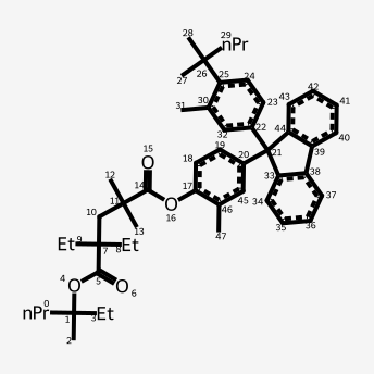 CCCC(C)(CC)OC(=O)C(CC)(CC)CC(C)(C)C(=O)Oc1ccc(C2(c3ccc(C(C)(C)CCC)c(C)c3)c3ccccc3-c3ccccc32)cc1C